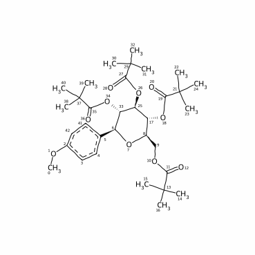 COc1ccc([C@@H]2O[C@H](COC(=O)C(C)(C)C)[C@@H](OC(=O)C(C)(C)C)[C@H](OC(=O)C(C)(C)C)[C@H]2OC(=O)C(C)(C)C)cc1